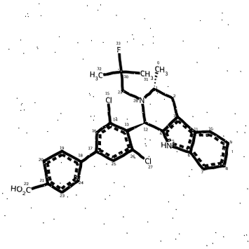 C[C@@H]1Cc2c([nH]c3ccccc23)[C@@H](c2c(Cl)cc(-c3ccc(C(=O)O)cc3)cc2Cl)N1CC(C)(C)F